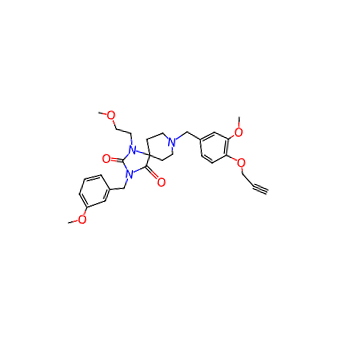 C#CCOc1ccc(CN2CCC3(CC2)C(=O)N(Cc2cccc(OC)c2)C(=O)N3CCOC)cc1OC